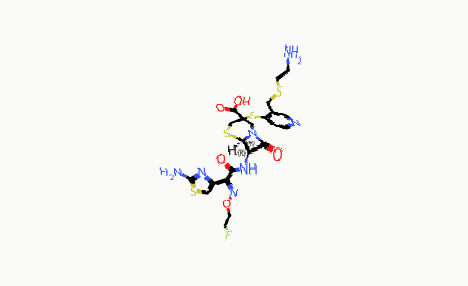 NCCSCc1cnccc1SC1(C(=O)O)CS[C@@H]2[C@H](NC(=O)C(=NOCCF)c3csc(N)n3)C(=O)N2C1